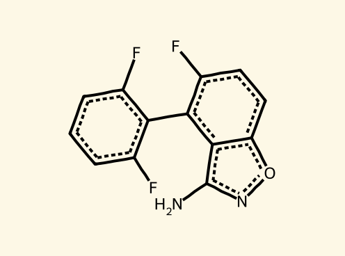 Nc1noc2ccc(F)c(-c3c(F)cccc3F)c12